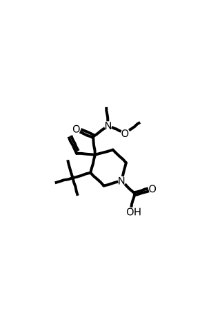 C=CC1(C(=O)N(C)OC)CCN(C(=O)O)CC1C(C)(C)C